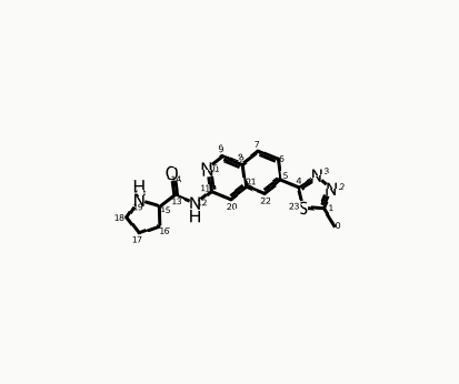 Cc1nnc(-c2ccc3cnc(NC(=O)C4CCCN4)cc3c2)s1